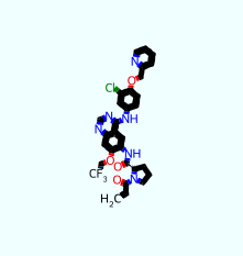 C=CC(=O)N1CCC[C@H]1C(=O)Nc1cc2c(Nc3ccc(OCc4ccccn4)c(Cl)c3)ncnc2cc1OCC(F)(F)F